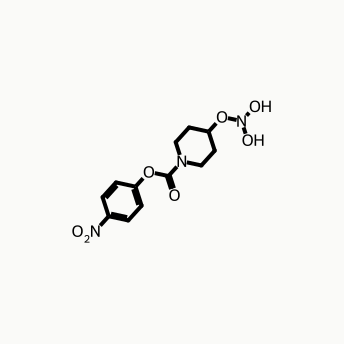 O=C(Oc1ccc([N+](=O)[O-])cc1)N1CCC(ON(O)O)CC1